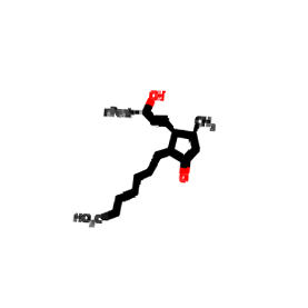 CCCCC[C@H](O)/C=C/[C@@H]1C(CCCCCCC(=O)O)C(=O)C[C@H]1C